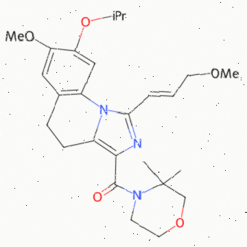 COCC=Cc1nc(C(=O)N2CCOCC2(C)C)c2n1-c1cc(OC(C)C)c(OC)cc1CC2